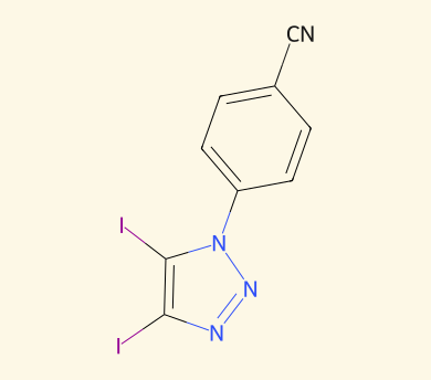 N#Cc1ccc(-n2nnc(I)c2I)cc1